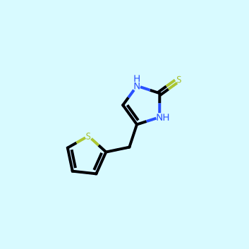 S=c1[nH]cc(Cc2cccs2)[nH]1